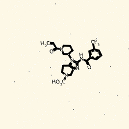 C=CC(=O)N1CCCC(n2c(NC(=O)c3cccc(C(F)(F)F)c3)nc3c2CCN(C(=O)O)C3)C1